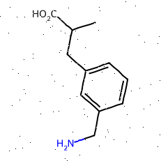 CC(Cc1cccc(CN)c1)C(=O)O